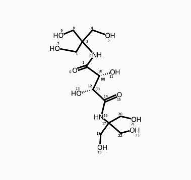 O=C(NC(CO)(CO)CO)[C@H](O)[C@@H](O)C(=O)NC(CO)(CO)CO